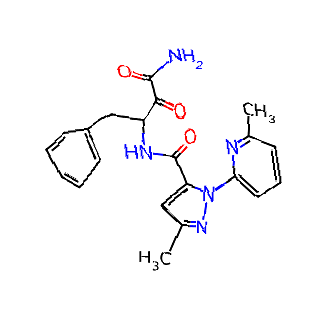 Cc1cccc(-n2nc(C)cc2C(=O)NC(Cc2ccccc2)C(=O)C(N)=O)n1